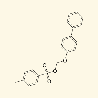 Cc1ccc(S(=O)(=O)OCOc2ccc(-c3ccccc3)cc2)cc1